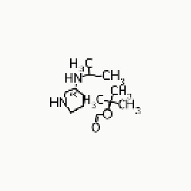 CC(C)(C)OC=O.CCC(C)N[C@@H]1CCCNC1